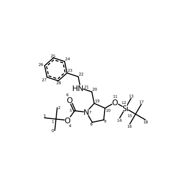 CC(C)(C)OC(=O)N1CCC(O[Si](C)(C)C(C)(C)C)C1CNCc1ccccc1